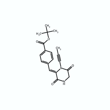 CC#CN1C(=O)CNC(=O)C1=Cc1ccc(C(=O)OC(C)(C)C)cc1